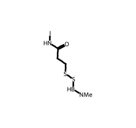 CNBSSCCC(=O)NI